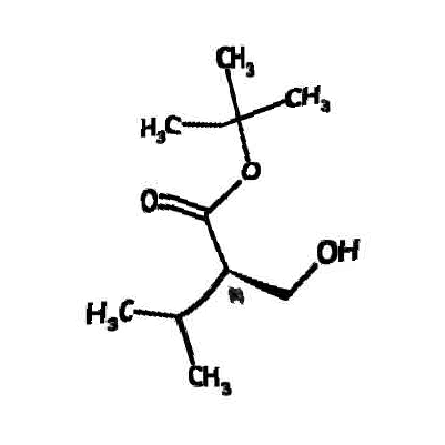 CC(C)[C@H](CO)C(=O)OC(C)(C)C